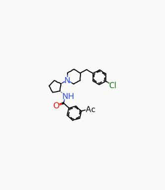 CC(=O)c1cccc(C(=O)N[C@@H]2CCC[C@H]2N2CCC(Cc3ccc(Cl)cc3)CC2)c1